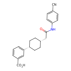 N#Cc1ccc(NC(=O)C[C@H]2CC[C@@H](c3cccc(C(=O)O)c3)CC2)cc1